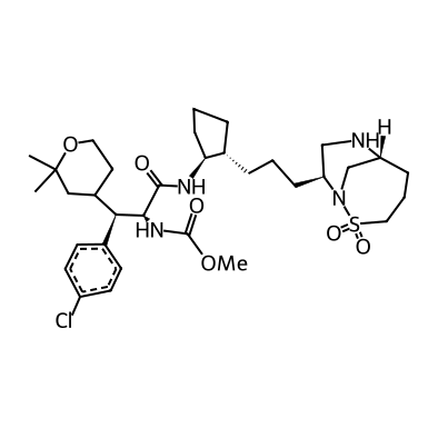 COC(=O)N[C@H](C(=O)N[C@H]1CCC[C@@H]1CCC[C@H]1CN[C@@H]2CCCS(=O)(=O)N1C2)[C@@H](c1ccc(Cl)cc1)C1CCOC(C)(C)C1